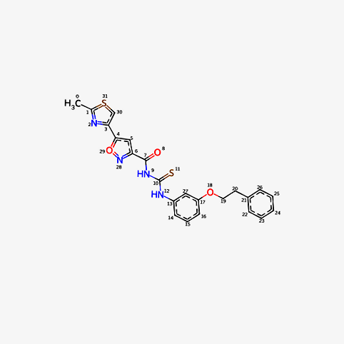 Cc1nc(-c2cc(C(=O)NC(=S)Nc3cccc(OCCc4ccccc4)c3)no2)cs1